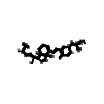 CC1=C(/C=C/C2=CCC[C@]3(C)[C@@H]([C@H](C)/C=C/[C@H](C)C(C)C)CC[C@@H]23)C[C@@H](OP(N)O)CC1